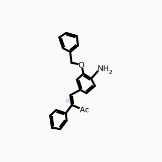 CC(=O)/C(=C\c1ccc(N)c(OCc2ccccc2)c1)c1ccccc1